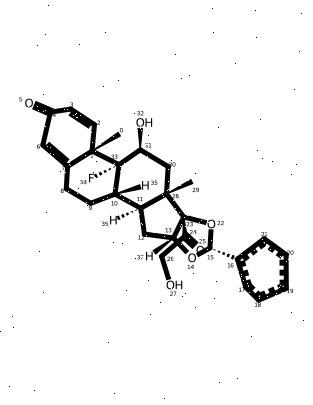 C[C@]12C=CC(=O)C=C1CC[C@H]1[C@@H]3C[C@H]4O[C@@H](c5ccccc5)O[C@@]4(C(=O)CO)[C@@]3(C)C[C@H](O)[C@@]12F